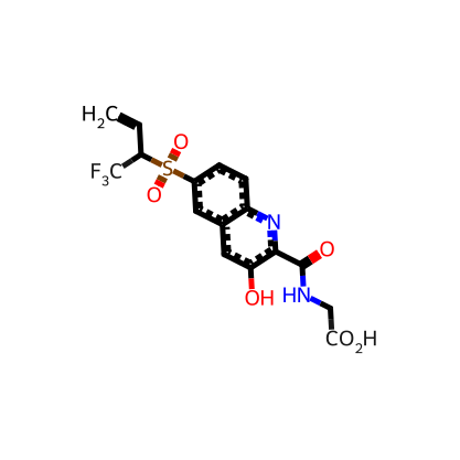 C=CC(C(F)(F)F)S(=O)(=O)c1ccc2nc(C(=O)NCC(=O)O)c(O)cc2c1